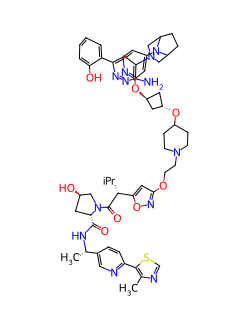 Cc1ncsc1-c1ccc([C@H](C)NC(=O)[C@@H]2C[C@@H](O)CN2C(=O)[C@@H](c2cc(OCCN3CCC(O[C@H]4C[C@H](Oc5cc(N6C7CCC6CN(c6cc(-c8ccccc8O)nnc6N)C7)ccn5)C4)CC3)no2)C(C)C)cn1